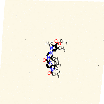 COC(=O)c1c(C)cc(N2CCN(C(=O)c3ccc4c(n3)C(C)(C)CN4C(C)=O)C(C)(C)C2)nc1C